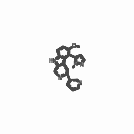 COc1ccc2[nH]c3cnc(-c4cccnc4)cc3c2c1-c1ccnn1C